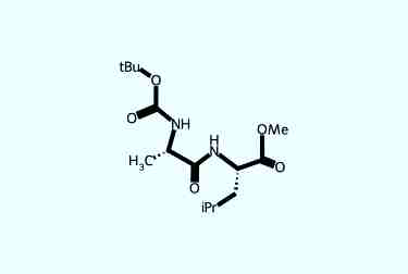 COC(=O)[C@H](CC(C)C)NC(=O)[C@H](C)NC(=O)OC(C)(C)C